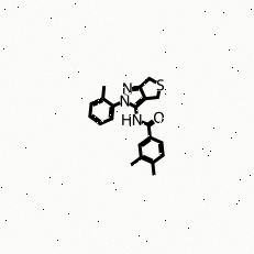 Cc1ccc(C(=O)Nc2c3c(nn2-c2ccccc2C)CSC3)cc1C